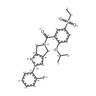 CCS(=O)(=O)c1ccc(OC(C)C)c(C(=O)N2Cc3cn(-c4ccccc4F)nc3C2)c1